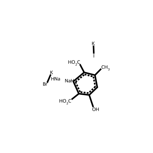 Cc1cc(O)c(C(=O)O)cc1C(=O)O.[K][Br].[K][I].[NaH].[NaH]